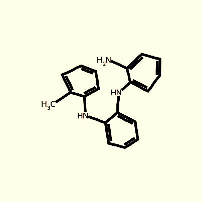 Cc1ccccc1Nc1ccccc1Nc1ccccc1N